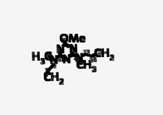 C=CCN(C)c1nc(OC)nc(N(C)CC=C)n1